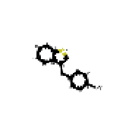 CC(C)c1ccc(Cc2[c]sc3ccccc23)cc1